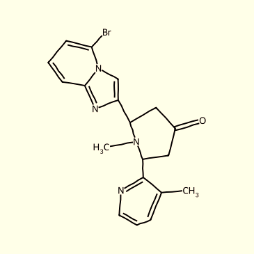 Cc1cccnc1C1CC(=O)CC(c2cn3c(Br)cccc3n2)N1C